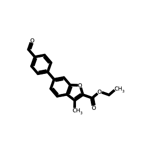 CCOC(=O)c1oc2cc(-c3ccc(C=O)cc3)ccc2c1C